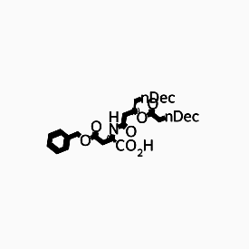 CCCCCCCCCCCC(=O)O[C@H](CCCCCCCCCCC)CC(=O)N[C@H](CC(=O)OCc1ccccc1)C(=O)O